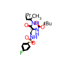 CC(C)C[C@@H](C)NC(=O)[C@H](CNS(=O)(=O)c1ccc(F)cc1)NC(=O)OC(C)(C)C